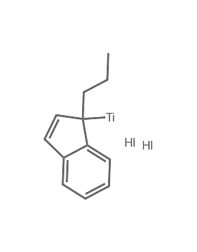 CCC[C]1([Ti])C=Cc2ccccc21.I.I